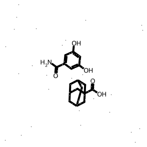 NC(=O)c1cc(O)cc(O)c1.O=C(O)C12CC3CC(CC(C3)C1)C2